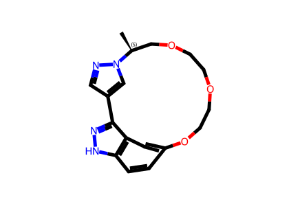 C[C@H]1COCCOCCOc2ccc3[nH]nc(c3c2)-c2cnn1c2